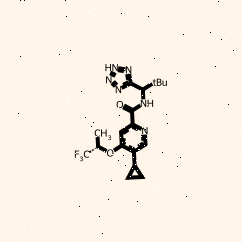 C[C@H](Oc1cc(C(=O)NC(c2nn[nH]n2)C(C)(C)C)ncc1C1CC1)C(F)(F)F